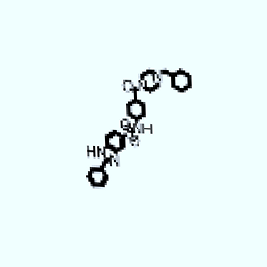 O=C(C1CCC(NS(=O)(=O)c2ccc3[nH]c(-c4ccccc4)nc3c2)CC1)N1CCN(CC2CCCCC2)CC1